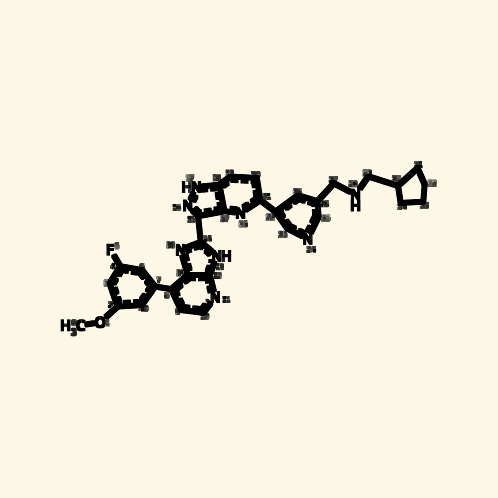 COc1cc(F)cc(-c2ccnc3[nH]c(-c4n[nH]c5ccc(-c6cncc(CNCC7CCCC7)c6)nc45)nc23)c1